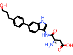 N[C@H](CC(=O)O)C(=O)Nc1c[nH]c2cc(-c3ccc(CCCO)cc3)ccc12